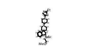 CCc1nsc(N2CCC(N3CCC4(CC3)C[C@H](N(CCOC)C(C)=O)c3ccccc34)CC2)n1